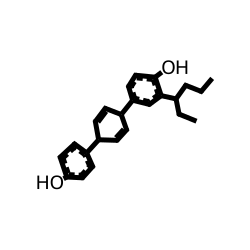 CCCC(CC)c1cc(C2C=CC(c3ccc(O)cc3)C=C2)ccc1O